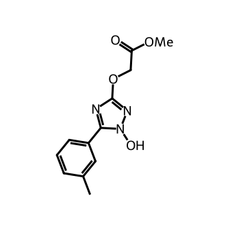 COC(=O)COc1nc(-c2cccc(C)c2)n(O)n1